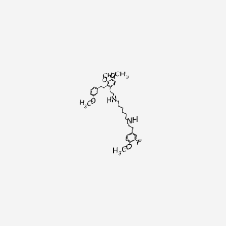 COc1cccc(CCc2c(CCNCCCCCCNCCc3ccc(OC)c(F)c3)ccc(OC)c2OC)c1